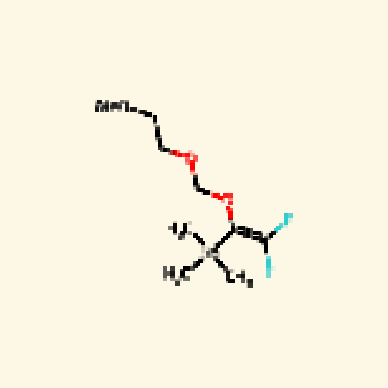 COCCOCO[C](=C(F)F)[Sn]([CH3])([CH3])[CH3]